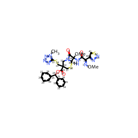 CON=C(C(=O)NC1(OC)C(=O)N2CC(CSc3nnnn3C)(C(=O)OC(c3ccccc3)c3ccccc3)CS[C@@H]21)c1csnn1